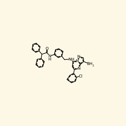 Bc1cnn2c(NCc3cccc(NC(=O)C(c4ccccc4)c4ccccc4)c3)cc(-c3ccccc3Cl)nc12